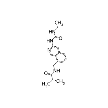 CCNC(=O)Nc1cc2cccc(CNC(=O)C(C)C)c2cn1